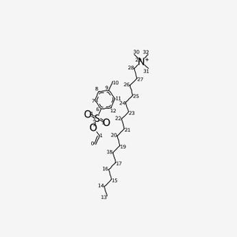 C=COS(=O)(=O)c1ccc(C)cc1.CCCCCCCCCCCCCCCC[N+](C)(C)C